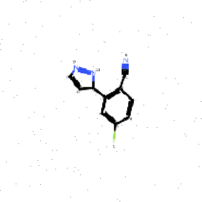 N#Cc1ccc(F)cc1C1C=CN=N1